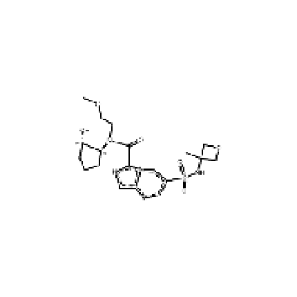 COCCN(C(=O)c1ncc2ccc(S(=O)(=O)NC3(C)COC3)cn12)[C@H]1CCC[C@@H]1O